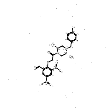 C[C@@H]1CN(C(=O)COc2c(C=O)cc([N+](=O)[O-])cc2[N+](=O)[O-])[C@@H](C)CN1Cc1ccc(F)cc1